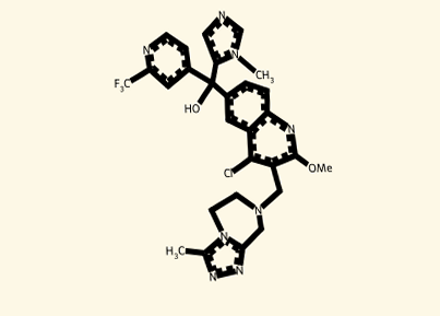 COc1nc2ccc(C(O)(c3ccnc(C(F)(F)F)c3)c3cncn3C)cc2c(Cl)c1CN1CCn2c(C)nnc2C1